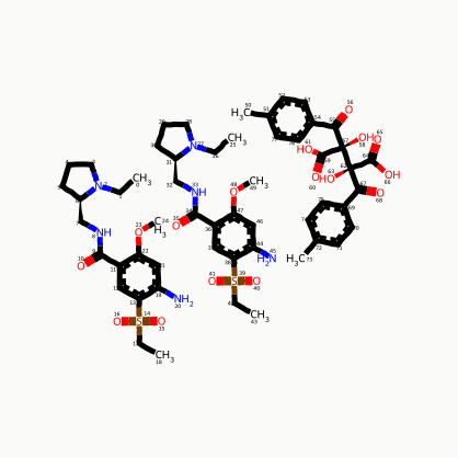 CCN1CCC[C@@H]1CNC(=O)c1cc(S(=O)(=O)CC)c(N)cc1OC.CCN1CCC[C@@H]1CNC(=O)c1cc(S(=O)(=O)CC)c(N)cc1OC.Cc1ccc(C(=O)[C@@](O)(C(=O)O)[C@](O)(C(=O)O)C(=O)c2ccc(C)cc2)cc1